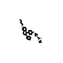 CCCCOc1ccc2c(c1)CCC(c1ccccc1)=C2c1ccc(OC2CN(C(=O)OC(C)(C)C)C2)cc1